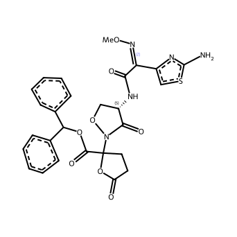 CO/N=C(\C(=O)N[C@H]1CON(C2(C(=O)OC(c3ccccc3)c3ccccc3)CCC(=O)O2)C1=O)c1csc(N)n1